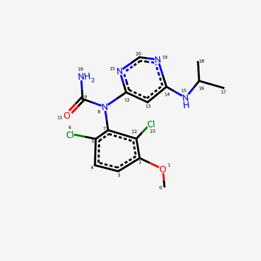 COc1ccc(Cl)c(N(C(N)=O)c2cc(NC(C)C)ncn2)c1Cl